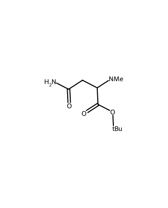 CNC(CC(N)=O)C(=O)OC(C)(C)C